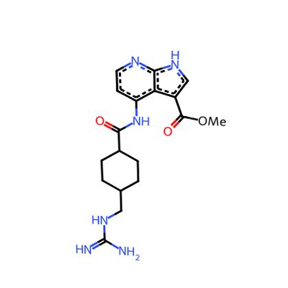 COC(=O)c1c[nH]c2nccc(NC(=O)C3CCC(CNC(=N)N)CC3)c12